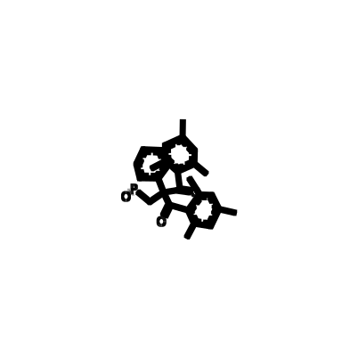 Cc1cc(C)c(C(=O)C(CP=O)(C(=O)c2c(C)cc(C)cc2C)c2ccccc2)c(C)c1